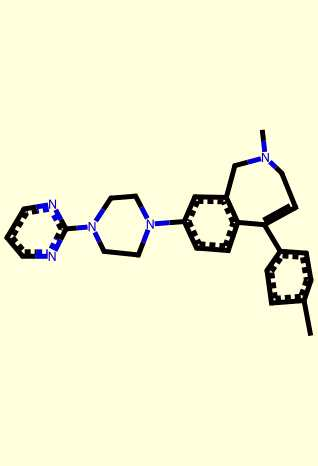 Cc1ccc(C2=CCN(C)Cc3cc(N4CCN(c5ncccn5)CC4)ccc32)cc1